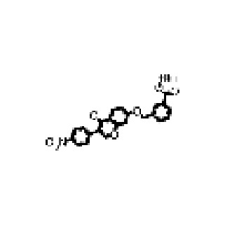 CC(C)(C)OC(=O)c1cccc(COc2ccc3c(=O)c(-c4ccc([N+](=O)[O-])cc4)coc3c2)c1